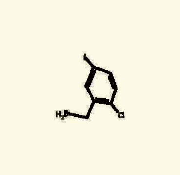 BCc1cc(I)ccc1Cl